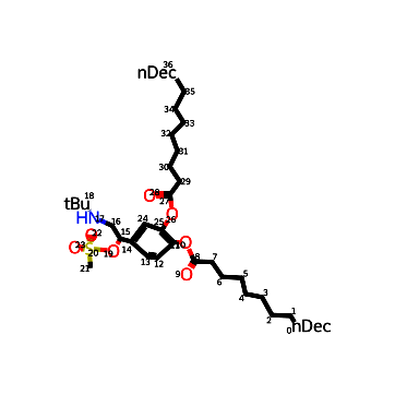 CCCCCCCCCCCCCCCCCC(=O)Oc1ccc(C(CNC(C)(C)C)OS(C)(=O)=O)cc1OC(=O)CCCCCCCCCCCCCCCCC